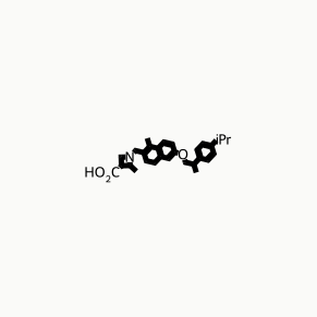 CC1=C(CN2CC(C(=O)O)C2C)CCc2cc(OCC(C)c3ccc(C(C)C)cc3)ccc21